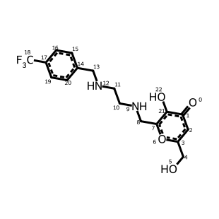 O=c1cc(CO)oc(CNCCNCc2ccc(C(F)(F)F)cc2)c1O